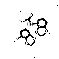 Nc1cccc2c1OCCO2.O=C(Nc1cccc2c1OCCO2)C(F)(F)F